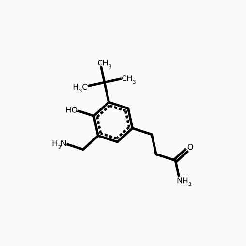 CC(C)(C)c1cc(CCC(N)=O)cc(CN)c1O